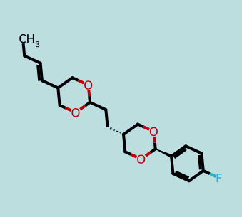 CC/C=C/C1COC(CC[C@H]2CO[C@H](c3ccc(F)cc3)OC2)OC1